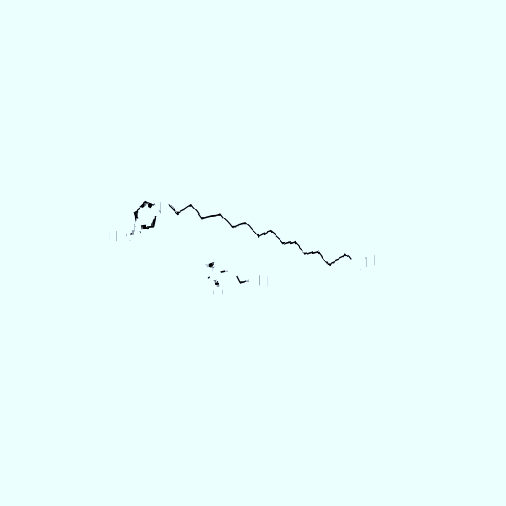 CCCCCCCCCCCCCCCC[n+]1ccn(C)c1.CCOS(=O)(=O)[O-]